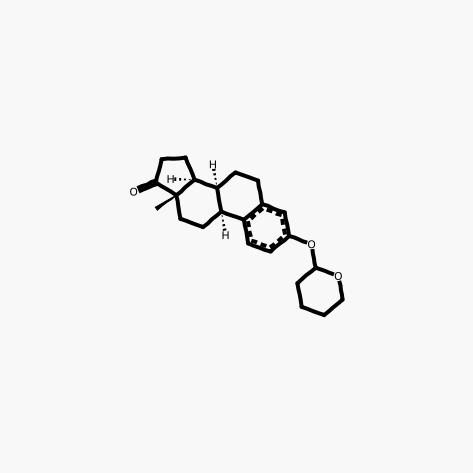 C[C@]12CC[C@@H]3c4ccc(OC5CCCCO5)cc4CC[C@@H]3[C@@H]1CCC2=O